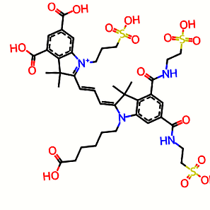 CC1(C)C(/C=C/C=C2/N(CCCCCC(=O)O)c3cc(C(=O)NCCS(=O)(=O)O)cc(C(=O)NCCS(=O)(=O)O)c3C2(C)C)=[N+](CCCS(=O)(=O)O)c2cc(C(=O)O)cc(C(=O)O)c21